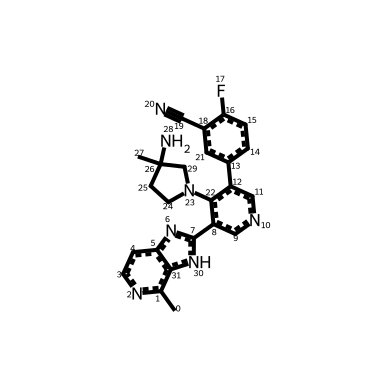 Cc1nccc2nc(-c3cncc(-c4ccc(F)c(C#N)c4)c3N3CCC(C)(N)C3)[nH]c12